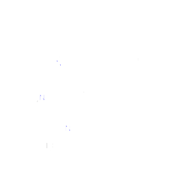 Cn1ccc2c(-c3ccccc3)ncnc21